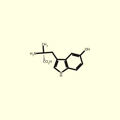 C[C@](N)(Cc1c[nH]c2ccc(O)cc12)C(=O)O